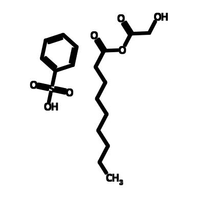 CCCCCCCCC(=O)OC(=O)CO.O=S(=O)(O)c1ccccc1